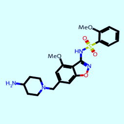 COc1ccccc1S(=O)(=O)Nc1noc2cc(CN3CCC(N)CC3)cc(OC)c12